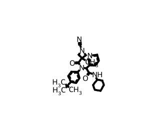 CC1(C(=O)N(c2ccc(C(C)(C)C)cc2)C(C(=O)NC2CCCCC2)c2cccnc2)CN(C#N)C1